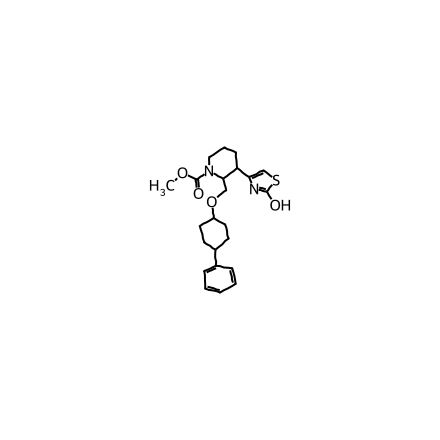 COC(=O)N1CCCC(c2csc(O)n2)C1COC1CCC(c2ccccc2)CC1